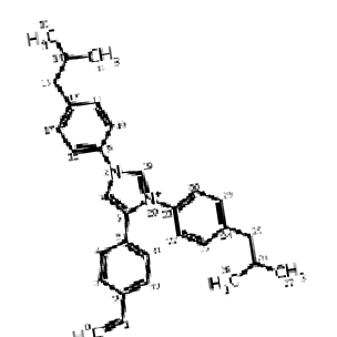 C=Cc1ccc(-c2cn(-c3ccc(CC(C)C)cc3)c[n+]2-c2ccc(CC(C)C)cc2)cc1